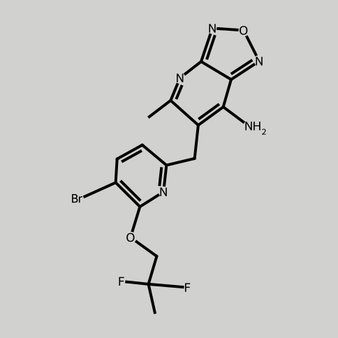 Cc1nc2nonc2c(N)c1Cc1ccc(Br)c(OCC(C)(F)F)n1